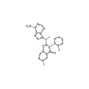 Cc1ccc2oc(C(C)n3cnc4c(N)ncnc43)c(-c3ccccc3F)c(=O)c2c1